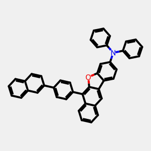 c1ccc(N(c2ccccc2)c2ccc3c(c2)oc2c(-c4ccc(-c5ccc6ccccc6c5)cc4)c4ccccc4cc23)cc1